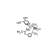 CC(CC(=O)O)c1cccc(C[C@@H](C)NC[C@@H](O[Si](C)(C)C(C)(C)C)c2ccc(O)c(CO)c2)c1